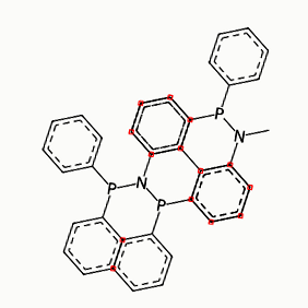 CN(c1ccccc1-c1ccccc1N(P(c1ccccc1)c1ccccc1)P(c1ccccc1)c1ccccc1)P(c1ccccc1)c1ccccc1